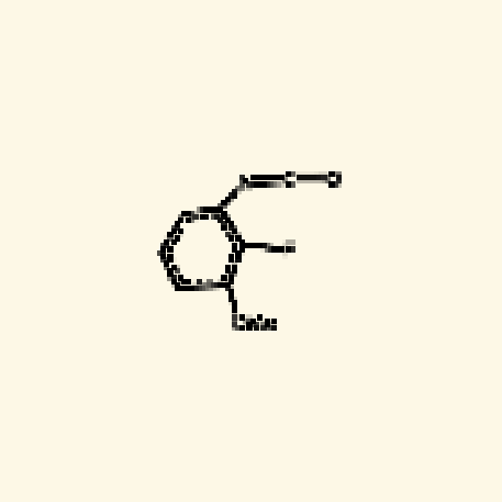 COc1cccc(N=C=O)c1F